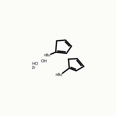 CCCCC1=CC=CC1.CCCCC1=CC=CC1.Cl.Cl.[Zr]